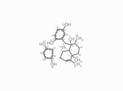 CC1=CCC[C@H]2[C@](C)(Cc3cc(O)ccc3O)[C@@H](C)CC[C@]12C.Oc1ccc(O)cc1